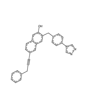 Oc1cc2ccc(C#CCc3ccccc3)cc2cc1Cc1ccc(-n2cnnc2)cc1